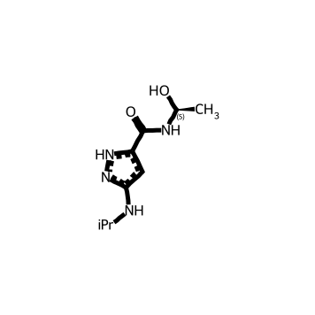 CC(C)Nc1cc(C(=O)N[C@H](C)O)[nH]n1